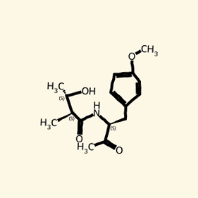 COc1ccc(C[C@H](NC(=O)[C@@H](C)[C@H](C)O)C(C)=O)cc1